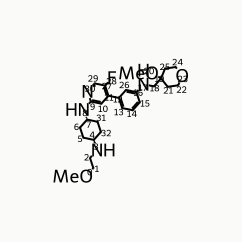 COCCN[C@H]1CC[C@H](Nc2cc(-c3cccc(NCC4(OC)CCOCC4)c3)c(F)cn2)CC1